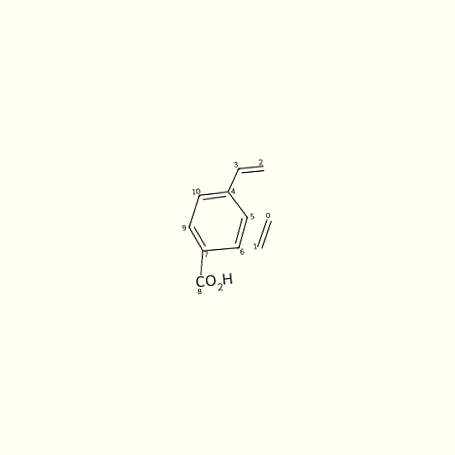 C=C.C=Cc1ccc(C(=O)O)cc1